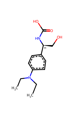 CCN(CC)c1ccc([C@H](CO)NC(=O)O)cc1